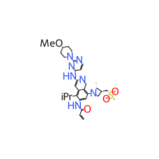 C=CC(=O)Nc1cc(N2C[C@H](CS(C)(=O)=O)[C@H]2C)c2cnc(Nc3ccnc(N4CCC(OC)CC4)n3)cc2c1C(C)C